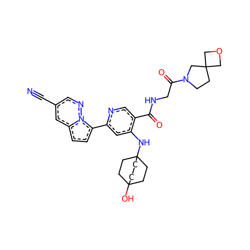 N#Cc1cnn2c(-c3cc(NC45CCC(O)(CC4)CC5)c(C(=O)NCC(=O)N4CCC5(COC5)C4)cn3)ccc2c1